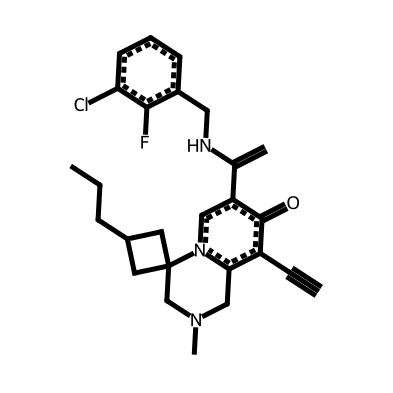 C#Cc1c2n(cc(C(=C)NCc3cccc(Cl)c3F)c1=O)C1(CC(CCC)C1)CN(C)C2